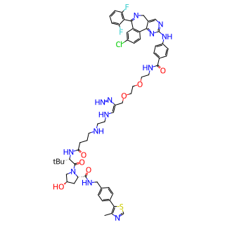 Cc1ncsc1-c1ccc(CNC(=O)[C@@H]2C[C@@H](O)CN2C(=O)[C@@H](NC(=O)CCCNCCN/C=C(/COCCOCCNC(=O)c2ccc(Nc3ncc4c(n3)-c3ccc(Cl)cc3C(c3c(F)cccc3F)=NC4)cc2)N=N)C(C)(C)C)cc1